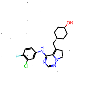 O[C@H]1CC[C@@H](CC2=C3C(Nc4ccc(F)c(Cl)c4)=NC=NN3CC2)CC1